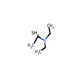 CCN(CC)CC.[SiH4]